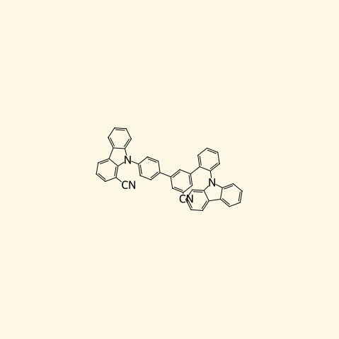 N#Cc1cc(-c2ccc(-n3c4ccccc4c4cccc(C#N)c43)cc2)cc(-c2ccccc2-n2c3ccccc3c3ccccc32)c1